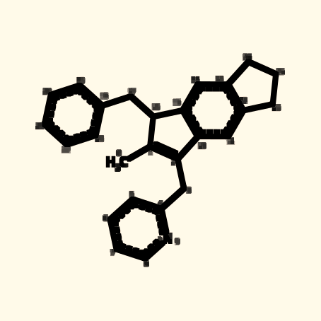 CC1=C(Cc2ccccn2)c2cc3c(cc2C1Cc1ccccc1)CCC3